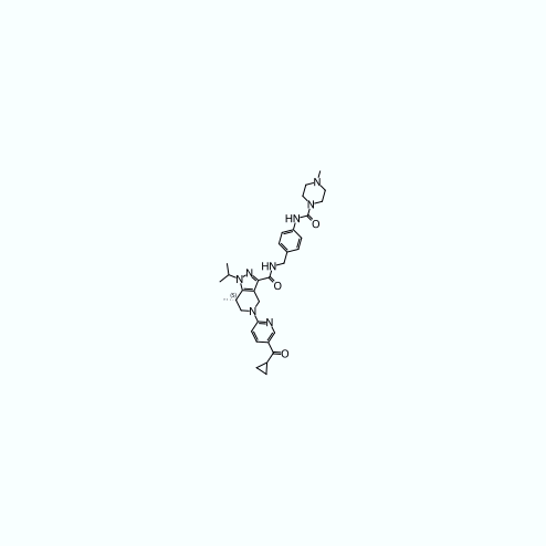 CC(C)n1nc(C(=O)NCc2ccc(NC(=O)N3CCN(C)CC3)cc2)c2c1[C@@H](C)CN(c1ccc(C(=O)C3CC3)cn1)C2